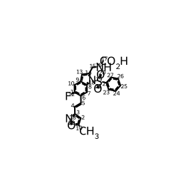 Cc1cc(/C=C/c2cc3c(cc2F)cc(CNC(=O)O)n3S(=O)(=O)c2ccccc2)no1